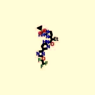 CCC(C(=O)Nc1ccc(-c2cncc(OC(F)C(F)F)n2)cn1)c1ccnc(NS(=O)(=O)C2CC2)n1